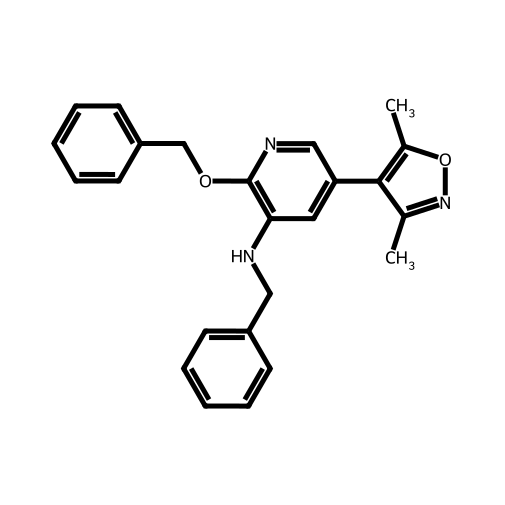 Cc1noc(C)c1-c1cnc(OCc2ccccc2)c(NCc2ccccc2)c1